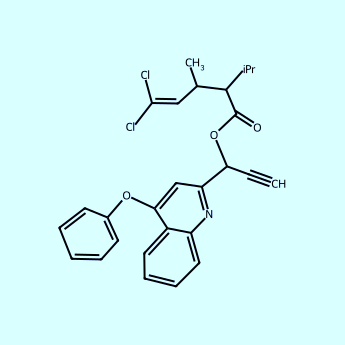 C#CC(OC(=O)C(C(C)C)C(C)C=C(Cl)Cl)c1cc(Oc2ccccc2)c2ccccc2n1